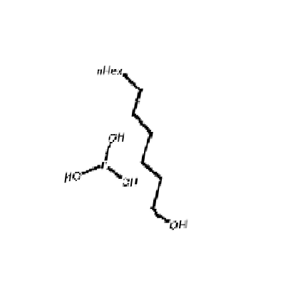 CCCCCCCCCCCCO.OP(O)O